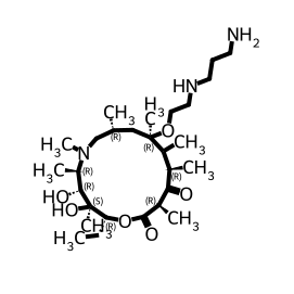 CC[C@H]1OC(=O)[C@H](C)C(=O)[C@H](C)C(C)[C@](C)(OCCNCCCN)C[C@@H](C)CN(C)[C@H](C)[C@@H](O)[C@]1(C)O